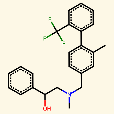 Cc1cc(CN(C)CC(O)c2ccccc2)ccc1-c1ccccc1C(F)(F)F